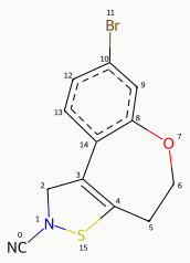 N#CN1CC2=C(CCOc3cc(Br)ccc32)S1